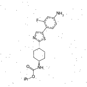 CC(C)OC(=O)N[C@H]1CC[C@H](c2ncc(-c3ccc(N)cc3F)s2)CC1